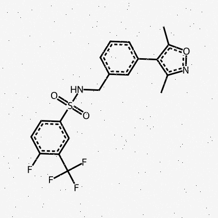 Cc1noc(C)c1-c1cccc(CNS(=O)(=O)c2ccc(F)c(C(F)(F)F)c2)c1